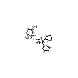 COC1(CSc2nc(-c3ccccc3)c(-c3ccccc3)[nH]2)CC(O)CCO1